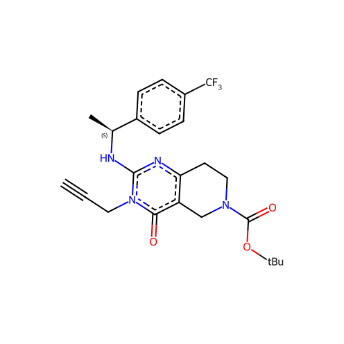 C#CCn1c(N[C@@H](C)c2ccc(C(F)(F)F)cc2)nc2c(c1=O)CN(C(=O)OC(C)(C)C)CC2